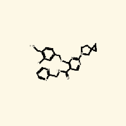 O=C(NCc1ncccn1)c1cnc(N2CCC3(CC3)C2)nc1OCc1ccc(CO)c(Cl)c1